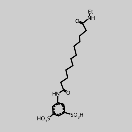 CCNC(=O)CCCCCCCCCCC(=O)Nc1cc(S(=O)(=O)O)cc(S(=O)(=O)O)c1